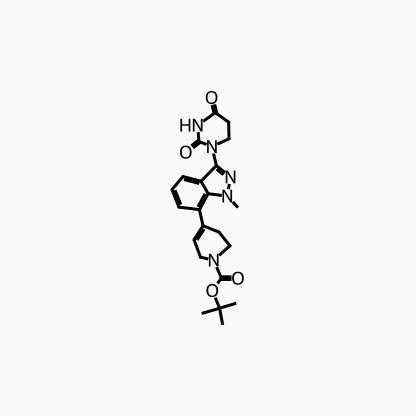 Cn1nc(N2CCC(=O)NC2=O)c2cccc(C3=CCN(C(=O)OC(C)(C)C)CC3)c21